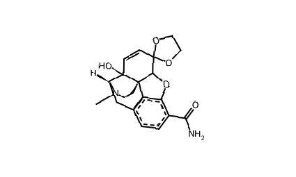 CN1CC[C@]23c4c5ccc(C(N)=O)c4OC2C2(C=CC3(O)[C@H]1C5)OCCO2